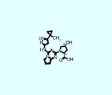 CC1(c2cc(Nc3nc(N4C[C@@H](O)C[C@H]4C(=O)O)nc4cccn34)n[nH]2)CC1